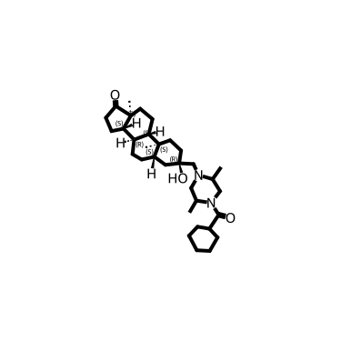 CC1CN(C(=O)C2CCCCC2)C(C)CN1C[C@@]1(O)CC[C@@]2(C)[C@@H](CC[C@@H]3[C@@H]2CC[C@]2(C)C(=O)CC[C@@H]32)C1